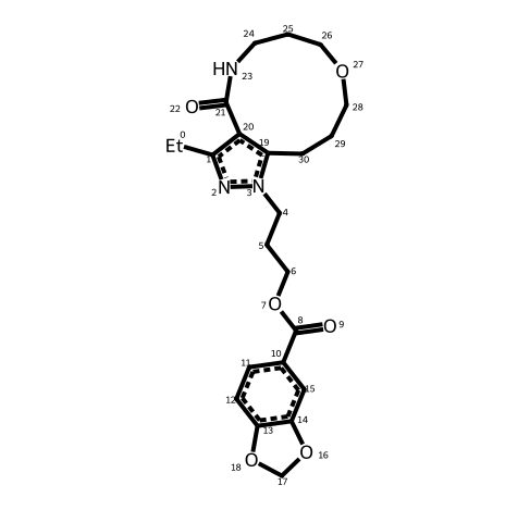 CCc1nn(CCCOC(=O)c2ccc3c(c2)OCO3)c2c1C(=O)NCCCOCCC2